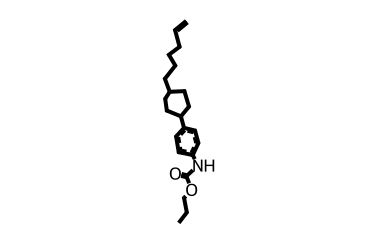 C=CCCCCC1CCC(c2ccc(NC(=O)OCCC)cc2)CC1